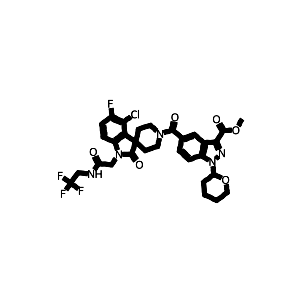 COC(=O)c1nn(C2CCCCO2)c2ccc(C(=O)N3CCC4(CC3)C(=O)N(CC(=O)NCC(F)(F)F)c3ccc(F)c(Cl)c34)cc12